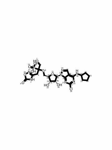 O=c1[nH]c(CC(CO)(OC[C@H]2O[C@@H](n3ncc4c(NC5CCCC5)nc(Cl)nc43)[C@H](O)[C@@H]2O)P(=O)(O)O)no1